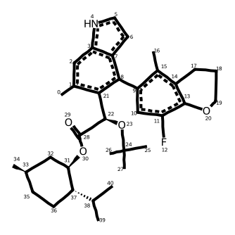 Cc1cc2[nH]ccc2c(-c2cc(F)c3c(c2C)CCCO3)c1[C@@H](OC(C)(C)C)C(=O)O[C@@H]1C[C@H](C)CC[C@H]1C(C)C